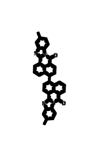 Cc1ccc2c(c1)nc1c3cccc4c(-c5ccc6c7c5cccc7c(=O)n5c7ccc(C)cc7nc65)ccc(c(=O)n21)c43